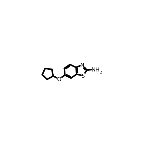 Nc1nc2ccc(OC3CCCC3)cc2s1